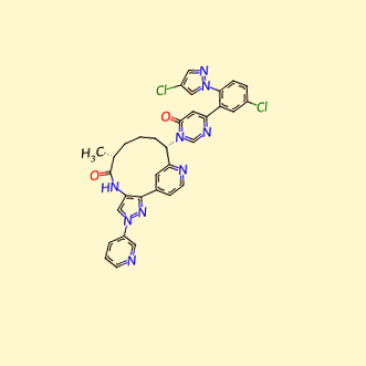 C[C@@H]1CCC[C@H](n2cnc(-c3cc(Cl)ccc3-n3cc(Cl)cn3)cc2=O)c2cc(ccn2)-c2nn(-c3cccnc3)cc2NC1=O